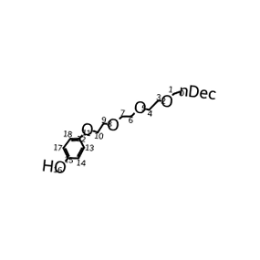 [CH2]CCCCCCCCCCOCCOCCOCCOc1ccc(O)cc1